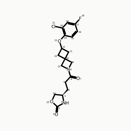 O=C1N[C@H](CCC(=O)N2CC3(CC(Oc4ccc(F)cc4Cl)C3)C2)CO1